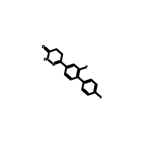 O=C1CCC(c2ccc(-c3ccc(F)cc3)c(F)c2)=NN1